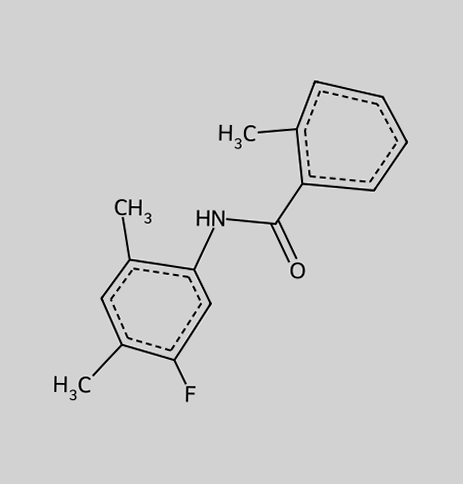 Cc1cc(C)c(NC(=O)c2ccccc2C)cc1F